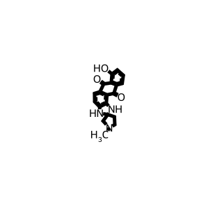 CN1CCC2(C1)Nc1ccc3c(c1N2)C(=O)c1cccc(O)c1C3=O